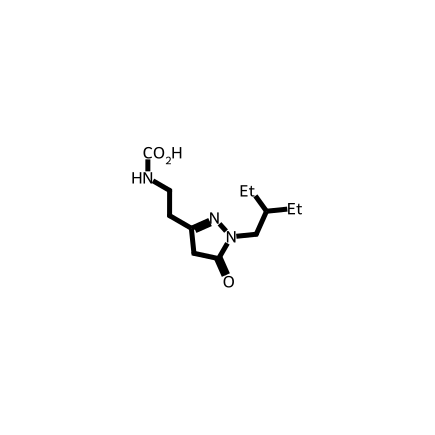 CCC(CC)CN1N=C(CCNC(=O)O)CC1=O